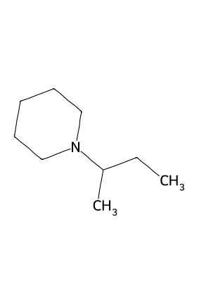 CCC(C)N1CCCCC1